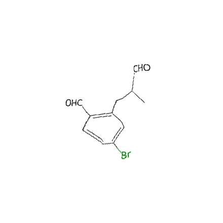 CC(C=O)Cc1cc(Br)ccc1C=O